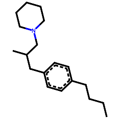 CCCCc1ccc(CC(C)CN2CCCCC2)cc1